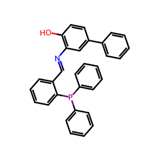 Oc1ccc(-c2ccccc2)cc1/N=C/c1ccccc1P(c1ccccc1)c1ccccc1